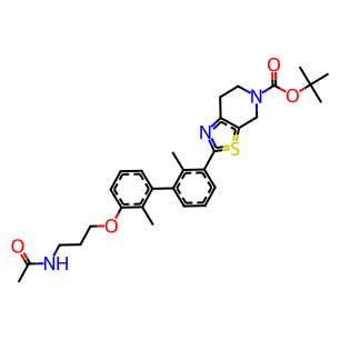 CC(=O)NCCCOc1cccc(-c2cccc(-c3nc4c(s3)CN(C(=O)OC(C)(C)C)CC4)c2C)c1C